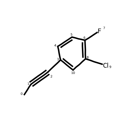 CC#Cc1ccc(F)c(Cl)c1